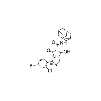 O=C(NC12CC3CC(CC(C3)C1)C2)C1=C(O)C2CS[C@@H](c3ccc(Br)cc3Cl)N2C1=O